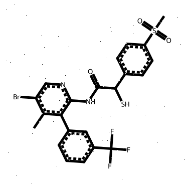 Cc1c(Br)cnc(NC(=O)C(S)c2ccc(S(C)(=O)=O)cc2)c1-c1cccc(C(F)(F)F)c1